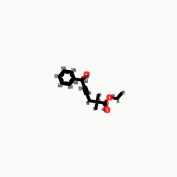 CCOC(=O)C(C)(C)CC#CC(=O)c1ccccc1